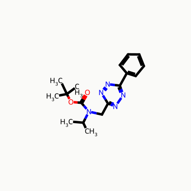 CC(C)N(Cc1nnc(-c2ccccc2)nn1)C(=O)OC(C)(C)C